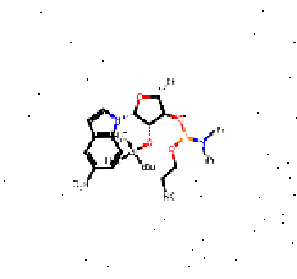 [C-]#[N+]CCOP(OC1[C@@H](CC)O[C@@H](n2ccc3cc([N+](=O)[O-])ccc32)[C@H]1O[Si](C)(C)C(C)(C)C)N(C(C)C)C(C)C